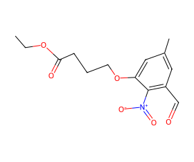 CCOC(=O)CCCOc1cc(C)cc(C=O)c1[N+](=O)[O-]